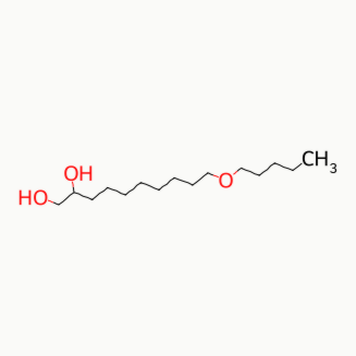 CCCCCOCCCCCCCCC(O)CO